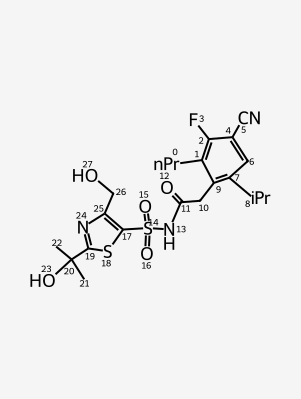 CCCc1c(F)c(C#N)cc(C(C)C)c1CC(=O)NS(=O)(=O)c1sc(C(C)(C)O)nc1CO